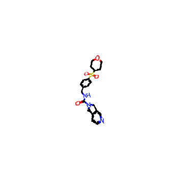 O=C(NCc1ccc(S(=O)(=O)C2CCOCC2)cc1)N1Cc2ccncc2C1